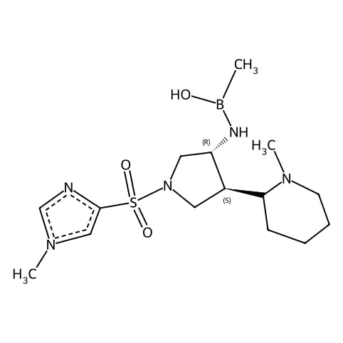 CB(O)N[C@H]1CN(S(=O)(=O)c2cn(C)cn2)C[C@@H]1C1CCCCN1C